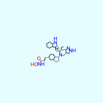 Cc1n[nH]cc1CN(CCc1c[nH]c2ccccc12)C1CCc2cc(C=CC(=O)NO)ccc21